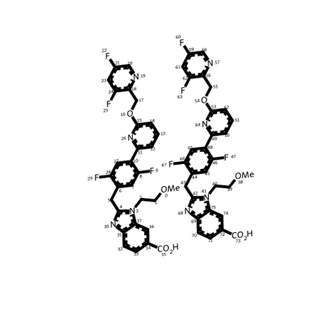 COCCn1c(Cc2cc(F)c(-c3cccc(OCc4ncc(F)cc4F)n3)cc2F)nc2ccc(C(=O)O)cc21.COCCn1c(Cc2cc(F)c(-c3cccc(OCc4ncc(F)cc4F)n3)cc2F)nc2ccc(C(=O)O)cc21